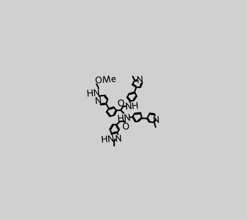 COCCNc1ccc(-c2cccc(C(C)C(=O)Nc3ccc(-c4ccnc(C)c4)cc3)c2)cn1.Cc1cc(-c2ccc(NC(=O)Cc3ccc4[nH]c(C)nc4c3)cc2)ccn1